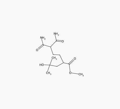 COC(=O)C(CCC(C(N)=O)C(N)=O)CC(C)(C)O